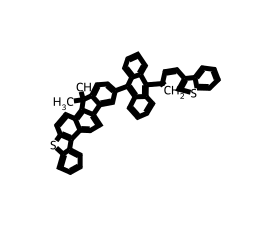 C=C(/C=C\c1csc2ccccc12)c1c2ccccc2c(-c2ccc3c(c2)-c2ccc4c(ccc5sc6ccccc6c54)c2C3(C)C)c2ccccc12